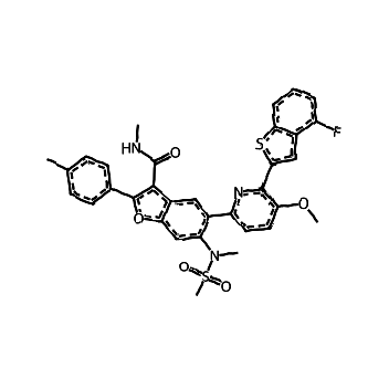 CNC(=O)c1c(-c2ccc(C)cc2)oc2cc(N(C)S(C)(=O)=O)c(-c3ccc(OC)c(-c4cc5c(F)cccc5s4)n3)cc12